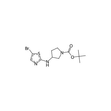 CC(C)(C)OC(=O)N1CCC(Nc2ncc(Br)s2)C1